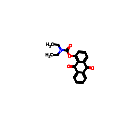 CCN(CC)C(=O)Oc1cccc2c1C(=O)c1ccccc1C2=O